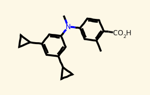 Cc1cc(N(C)c2cc(C3CC3)cc(C3CC3)c2)ccc1C(=O)O